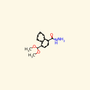 COC(OC)c1ccc(C(=O)NN)c2ccccc12